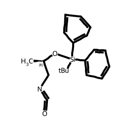 C[C@H](CN=C=O)O[Si](c1ccccc1)(c1ccccc1)C(C)(C)C